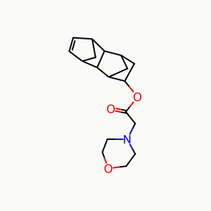 O=C(CN1CCOCC1)OC1CC2CC1C1C3C=CC(C3)C21